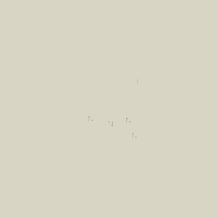 Cc1ccccc1CN1CCN(c2nc(C3(c4ccc(F)cc4)CC3)no2)CC1